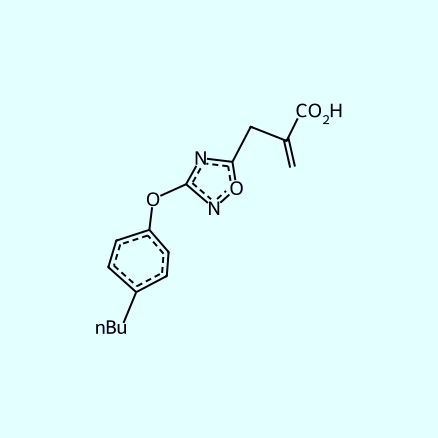 C=C(Cc1nc(Oc2ccc(CCCC)cc2)no1)C(=O)O